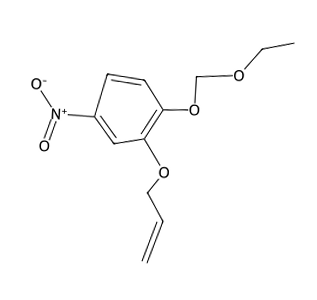 C=CCOc1cc([N+](=O)[O-])ccc1OCOCC